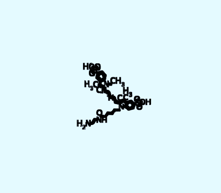 CCN1c2ccc(S(=O)(=O)O)cc2C(C)(C)C1/C=C/C=C/C=C1/N(CCCCCC(=O)NCCN)c2ccc(S(=O)(=O)O)cc2C1(C)C